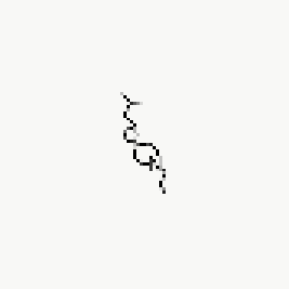 CCCN1CCC(OCCC(C)C)CC1